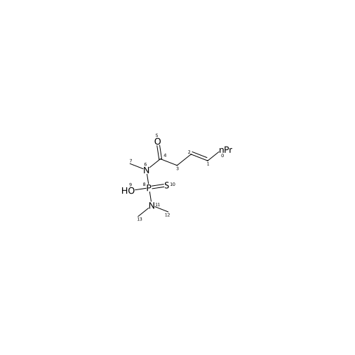 CCCC=CCC(=O)N(C)P(O)(=S)N(C)C